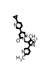 Cc1ccc(-c2noc(C)c2Cn2ncc(-c3ccc(C4CC4)nc3)cc2=O)cn1